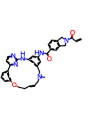 C=CC(=O)N1Cc2ccc(C(=O)Nc3cc4cc(c3)Nc3nccc(n3)-c3cccc(c3)OCC/C=C/CN(C)C4)cc2C1